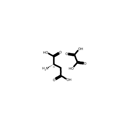 N[C@@H](CC(=O)O)C(=O)O.O=C(O)C(=O)O